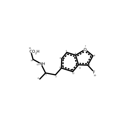 CC(Cc1ccc2occ(F)c2c1)NCC(=O)O